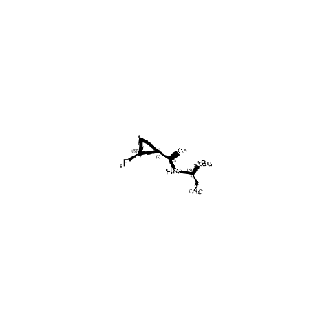 CC(=O)[C@@H](NC(=O)[C@@H]1C[C@@H]1F)C(C)(C)C